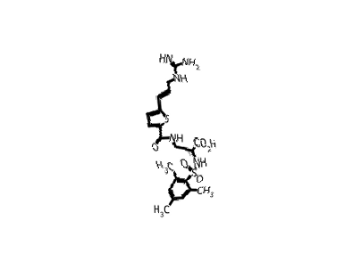 Cc1cc(C)c(S(=O)(=O)N[C@@H](CNC(=O)c2ccc(C=CCNC(=N)N)s2)C(=O)O)c(C)c1